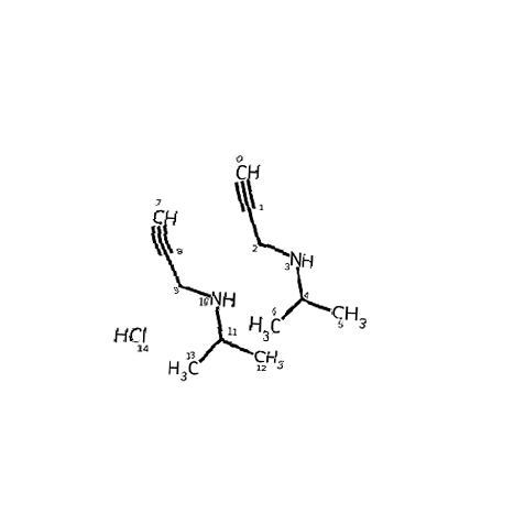 C#CCNC(C)C.C#CCNC(C)C.Cl